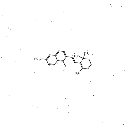 CC1=C(C=Cc2ccc3cc(C(=O)O)ccc3c2F)C(C)(C)CCC1